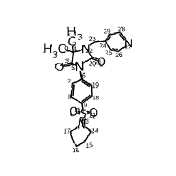 CC1(C)C(=O)N(c2ccc(S(=O)(=O)N3CCCC3)cc2)C(=O)N1Cc1ccncc1